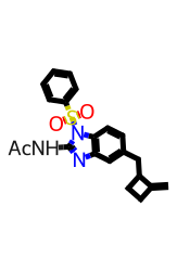 C=C1CCC1Cc1ccc2c(c1)nc(NC(C)=O)n2S(=O)(=O)c1ccccc1